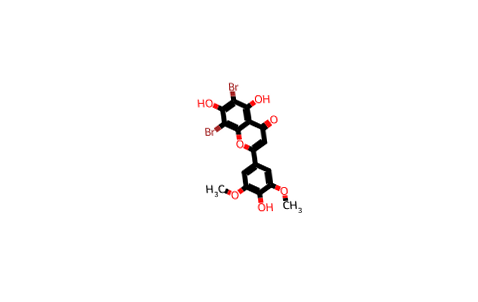 COc1cc(-c2cc(=O)c3c(O)c(Br)c(O)c(Br)c3o2)cc(OC)c1O